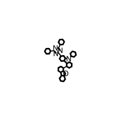 c1ccc(-c2nc(-c3ccccc3)nc(-c3ccc4c5c(-c6cccc7c6oc6ccccc67)cccc5n(-c5ccccc5)c4c3)n2)cc1